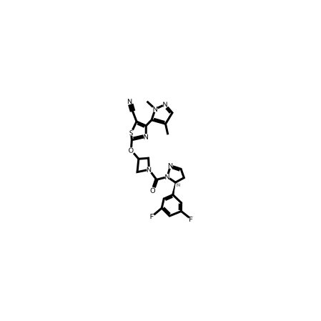 Cc1cnn(C)c1-c1nc(OC2CN(C(=O)N3N=CC[C@H]3c3cc(F)cc(F)c3)C2)sc1C#N